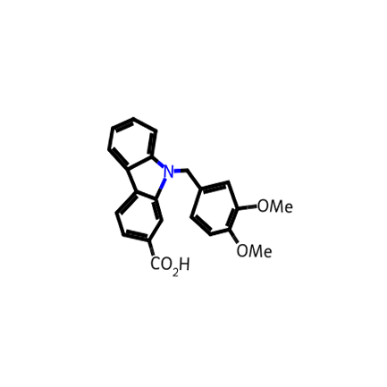 COc1ccc(Cn2c3ccccc3c3ccc(C(=O)O)cc32)cc1OC